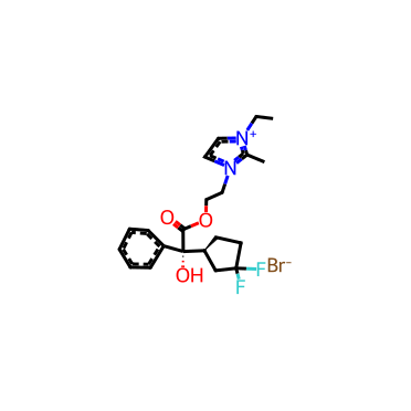 CC[n+]1ccn(CCOC(=O)[C@](O)(c2ccccc2)[C@H]2CCC(F)(F)C2)c1C.[Br-]